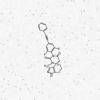 CN1C(=O)N(c2c(F)cc(C#Cc3ccccc3)cc2F)C(=O)C[C@]12CCCc1[nH]ncc12